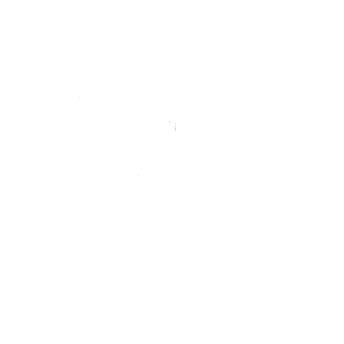 O=C(NC(CO)CC(F)(F)F)OCc1ccccc1